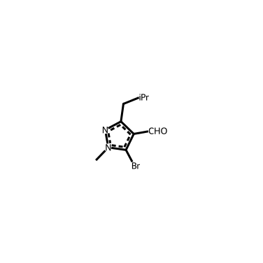 CC(C)Cc1nn(C)c(Br)c1C=O